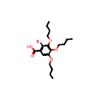 CCCCOc1cc(C(=O)O)c(Br)c(OCCCC)c1OCCCC